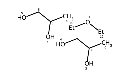 CC(O)CO.CC(O)CO.CCOCC